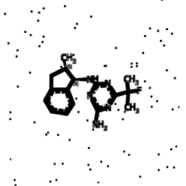 C[C@H]1Cc2ccccc2[C@@H]1Nc1nc(N)nc(C(C)(C)F)n1